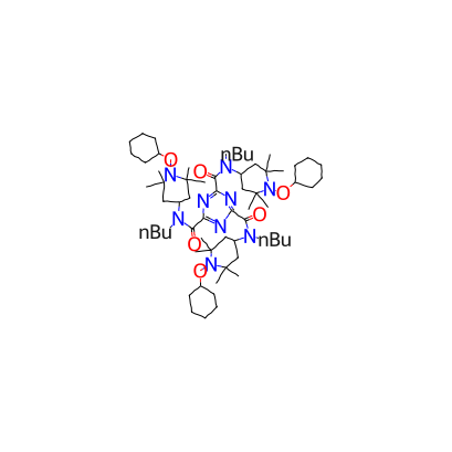 CCCCN(C(=O)c1nc(C(=O)N(CCCC)C2CC(C)(C)N(OC3CCCCC3)C(C)(C)C2)nc(C(=O)N(CCCC)C2CC(C)(C)N(OC3CCCCC3)C(C)(C)C2)n1)C1CC(C)(C)N(OC2CCCCC2)C(C)(C)C1